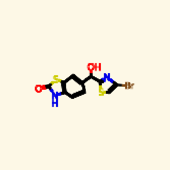 O=c1[nH]c2ccc(C(O)c3nc(Br)cs3)cc2s1